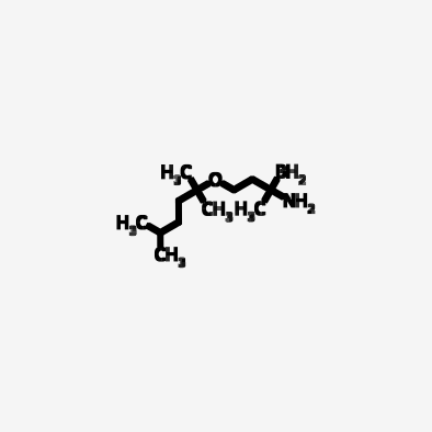 BC(C)(N)CCOC(C)(C)CCC(C)C